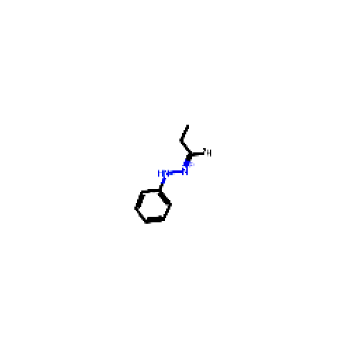 [3H]/C(CC)=N/Nc1ccccc1